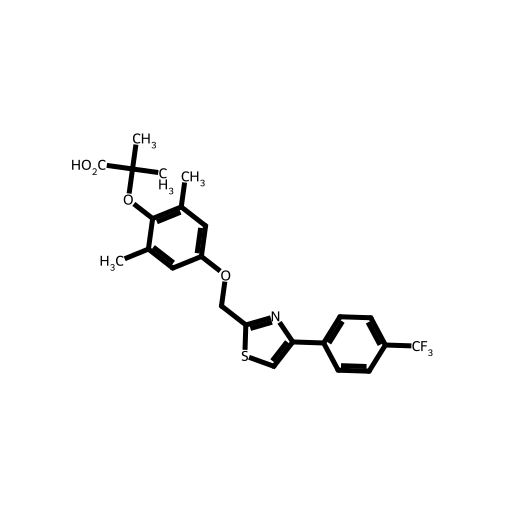 Cc1cc(OCc2nc(-c3ccc(C(F)(F)F)cc3)cs2)cc(C)c1OC(C)(C)C(=O)O